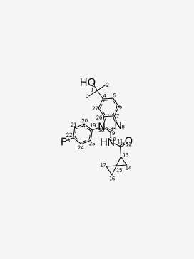 CC(C)(O)c1ccc2nc(NC(=O)C3CC34CC4)n(-c3ccc(F)cc3)c2c1